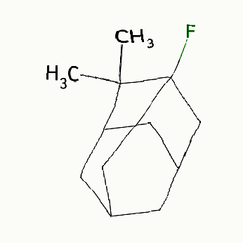 CC1(C)C2CC3CC(C2)CC1(F)C3